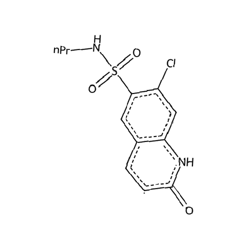 CCCNS(=O)(=O)c1cc2c[c]c(=O)[nH]c2cc1Cl